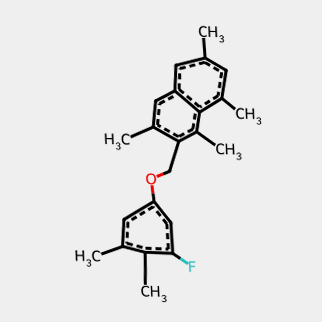 Cc1cc(C)c2c(C)c(COc3cc(C)c(C)c(F)c3)c(C)cc2c1